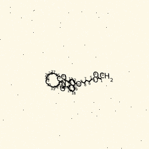 C=CC(=O)OCCCCCOc1ccc2c3c(cccc13)C(=O)N(C1CCCCCCCCCCC1)C2=O